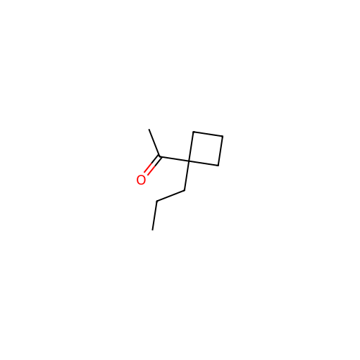 CCCC1(C(C)=O)CCC1